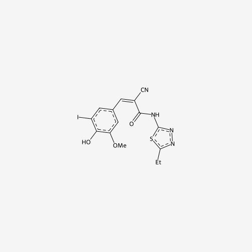 CCc1nnc(NC(=O)C(C#N)=Cc2cc(I)c(O)c(OC)c2)s1